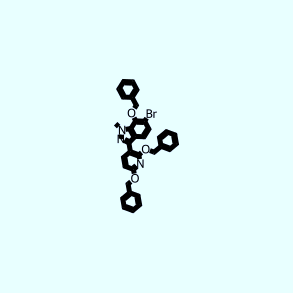 Cn1nc(-c2ccc(OCc3ccccc3)nc2OCc2ccccc2)c2ccc(Br)c(OCc3ccccc3)c21